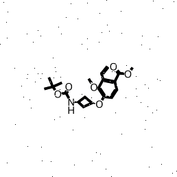 C=Cc1c(C(=O)OC)ccc(O[C@H]2C[C@H](NC(=O)OC(C)(C)C)C2)c1OC